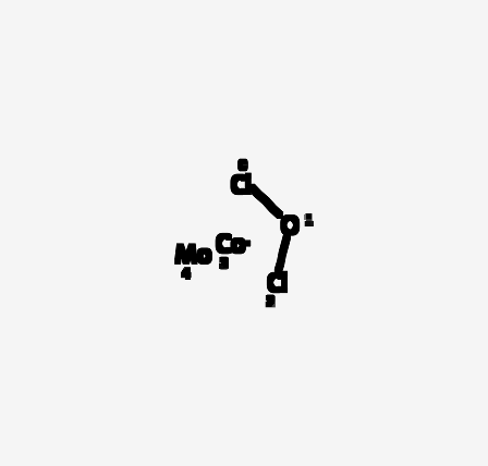 ClOCl.[Co].[Mo]